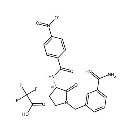 N=C(N)c1cccc(CN2CC[C@H](NC(=O)c3ccc([N+](=O)[O-])cc3)C2=O)c1.O=C(O)C(F)(F)F